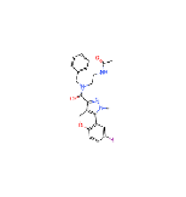 CC(=O)NCCN(Cc1ccccc1)C(=O)c1nn(C)c2c1COc1ccc(I)cc1-2